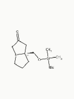 CC(C)(C)[Si](C)(C)OC[C@@]12CCCN1CC(=O)C2